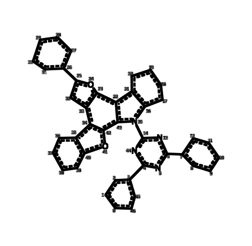 c1ccc(-c2nc(-c3ccccc3)nc(-n3c4ccccc4c4c5oc(-c6ccccc6)cc5c5c6ccccc6oc5c43)n2)cc1